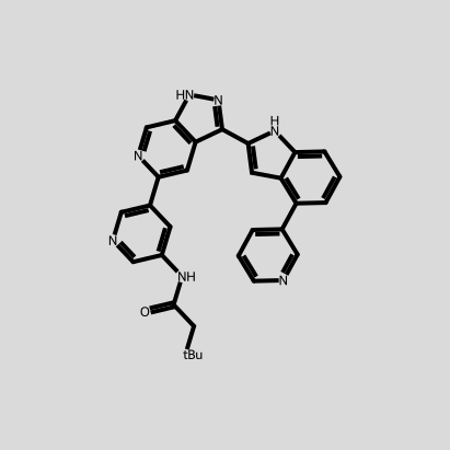 CC(C)(C)CC(=O)Nc1cncc(-c2cc3c(-c4cc5c(-c6cccnc6)cccc5[nH]4)n[nH]c3cn2)c1